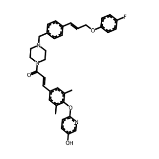 Cc1cc(C=CC(=O)N2CCN(Cc3ccc(C=CCOc4ccc(F)cc4)cc3)CC2)cc(C)c1Oc1ccc(O)cn1